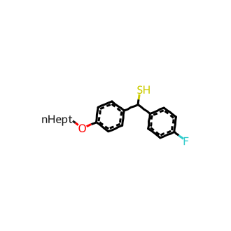 CCCCCCCOc1ccc(C(S)c2ccc(F)cc2)cc1